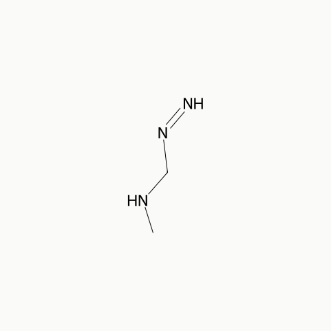 CNCN=N